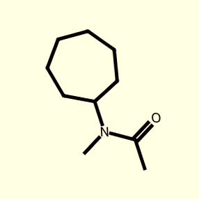 CC(=O)N(C)C1CCCCCC1